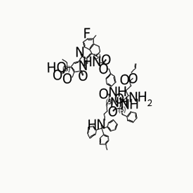 C=CCOC(=O)CCC(N)C(=O)N[C@@H](Cc1ccccc1)C(=O)N[C@@H](CCCCNC(c1ccccc1)(c1ccccc1)c1ccc(C)cc1)C(=O)Nc1ccc(COC(=O)N[C@H]2CCc3c(C)c(F)cc4nc5c(c2c34)Cn2c-5cc3c(c2=O)COC(=O)[C@]3(O)CC)cc1